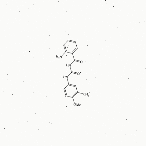 COc1ccc(NC(=O)NC(=O)c2ccccc2N)cc1C